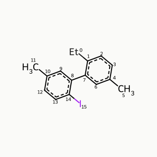 CCc1ccc(C)cc1-c1cc(C)ccc1I